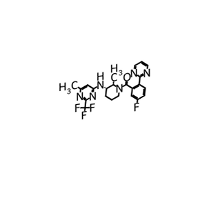 Cc1cc(N[C@H]2CCCN(C(=O)c3cc(F)ccc3-c3ncccn3)[C@@H]2C)nc(C(F)(F)F)n1